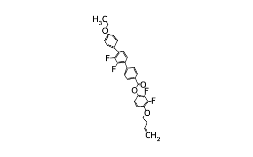 C=CCCOc1ccc(OC(=O)c2ccc(-c3ccc(-c4ccc(OCC)cc4)c(F)c3F)cc2)c(F)c1F